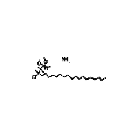 CCCCCCCCCCCCCCCCCCC(C)(Cl)C(C)(C)[Si](OC)(OC)OC.N